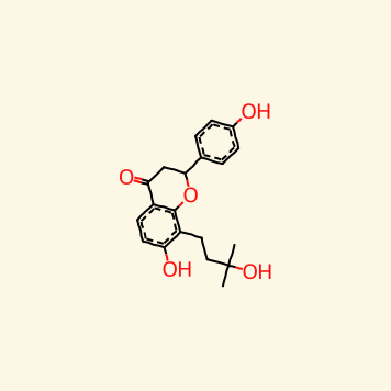 CC(C)(O)CCc1c(O)ccc2c1OC(c1ccc(O)cc1)CC2=O